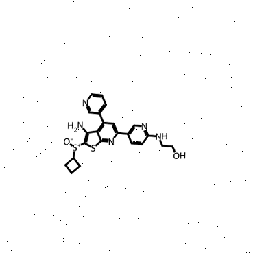 Nc1c([S+]([O-])C2CCC2)sc2nc(-c3ccc(NCCO)nc3)cc(-c3cccnc3)c12